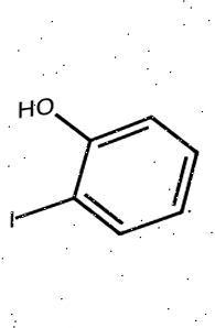 Oc1cc[c]cc1I